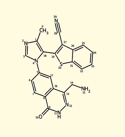 Cc1ncn(-c2ccc3c(=O)[nH]nc(CN)c3c2)c1-c1sc2ccccc2c1C#N